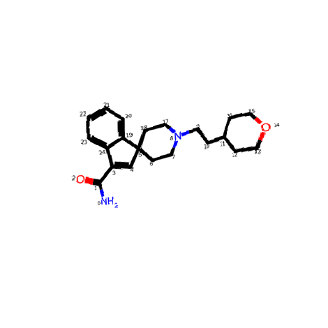 NC(=O)C1=CC2(CCN(CCC3CCOCC3)CC2)c2ccccc21